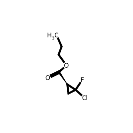 CCCOC(=O)[C@@H]1CC1(F)Cl